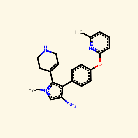 Cc1cccc(Oc2ccc(-c3c(N)cn(C)c3C3=CCNCC3)cc2)n1